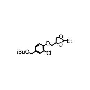 CCC1OCC(COc2ccc(COCC(C)C)cc2Cl)O1